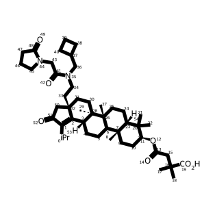 CC(C)C1=C2[C@H]3CCC4[C@@]5(C)CC[C@H](OC(=O)CC(C)(C)C(=O)O)C(C)(C)[C@H]5CC[C@@]4(C)[C@]3(C)CC[C@@]2(CCN(CC2CCC2)C(=O)CN2CCCC2=O)CC1=O